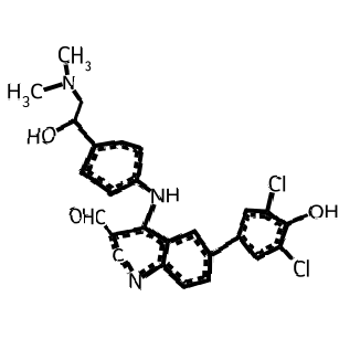 CN(C)CC(O)c1ccc(Nc2c(C=O)cnc3ccc(-c4cc(Cl)c(O)c(Cl)c4)cc23)cc1